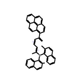 C=C(/C=C\C=C(/C)B(c1c(C)ccc2ccccc12)c1c(C)ccc2ccccc12)c1ccc2ccc3cccc4ccc1c2c34